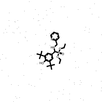 CCOP(=O)(OCC)C(NCc1ccccn1)c1cc(C(C)(C)C)c(O)c(C(C)(C)C)c1